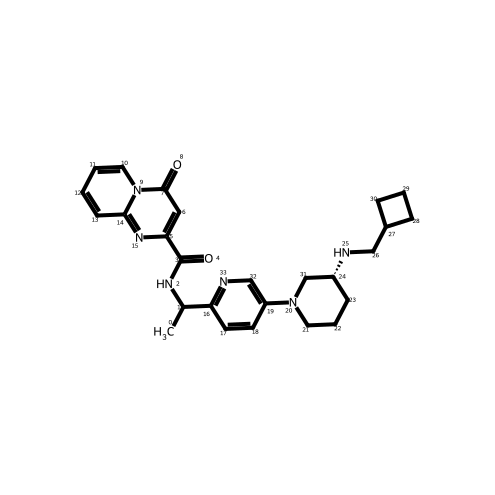 CC(NC(=O)c1cc(=O)n2ccccc2n1)c1ccc(N2CCC[C@@H](NCC3CCC3)C2)cn1